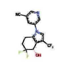 N#Cc1cncc(-n2cc(C(F)(F)F)c3c2CCC(F)(F)[C@H]3O)c1